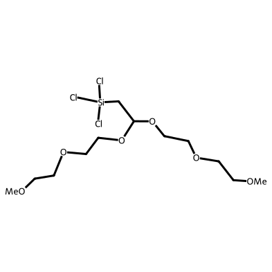 COCCOCCOC(C[Si](Cl)(Cl)Cl)OCCOCCOC